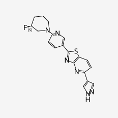 F[C@H]1CCCN(c2ccc(-c3nc4nc(-c5cn[nH]c5)ccc4s3)cn2)C1